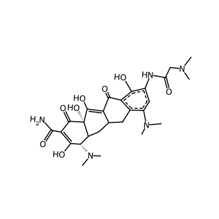 CN(C)CC(=O)Nc1cc(N(C)C)c2c(c1O)C(=O)C1=C(O)[C@]3(O)C(=O)C(C(N)=O)=C(O)[C@@H](N(C)C)C3CC1C2